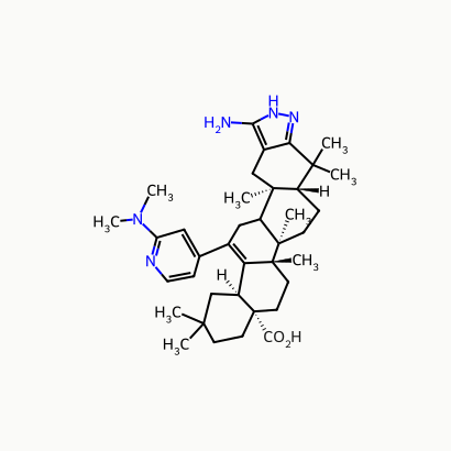 CN(C)c1cc(C2=C3[C@@H]4CC(C)(C)CC[C@]4(C(=O)O)CC[C@@]3(C)[C@]3(C)CC[C@H]4C(C)(C)c5n[nH]c(N)c5C[C@]4(C)C3C2)ccn1